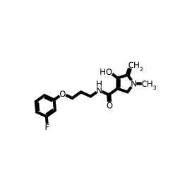 C=C1C(O)=C(C(=O)NCCCOc2cccc(F)c2)CN1C